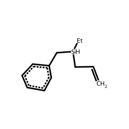 C=CC[SiH](CC)Cc1ccccc1